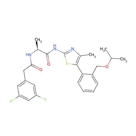 Cc1nc(NC(=O)[C@H](C)NC(=O)Cc2cc(F)cc(F)c2)sc1-c1ccccc1COC(C)C